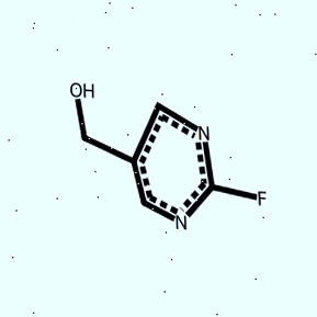 OCc1cnc(F)nc1